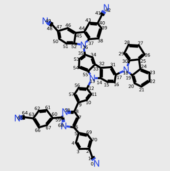 N#Cc1ccc(-c2cc(-c3ccc(-n4c5ccc(-n6c7ccccc7c7ccccc76)cc5c5cc(-n6c7ccc(C#N)cc7c7cc(C#N)ccc76)ccc54)cc3)nc(-c3ccc(C#N)cc3)n2)cc1